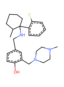 CC1CCCCC1(NCc1ccc(O)c(CN2CCN(C)CC2)c1)c1ccccc1F